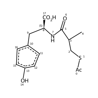 CC(=O)SCC(C)C(=O)N[C@@H](Cc1ccc(O)cc1)C(=O)O